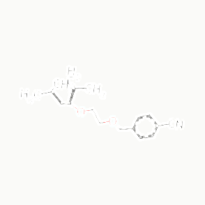 CC(C)=CC(OCCOCc1ccc(C#N)cc1)=C(C)C